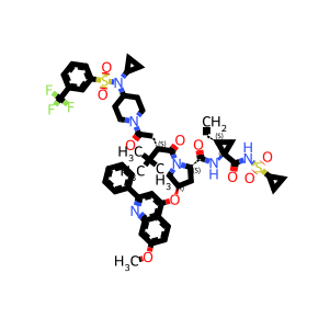 C=C[C@@H]1C[C@]1(NC(=O)[C@@H]1C[C@@H](Oc2cc(-c3ccccc3)nc3cc(OC)ccc23)CN1C(=O)[C@@H](CC(=O)N1CCC(N(C2CC2)S(=O)(=O)c2cccc(C(F)(F)F)c2)CC1)C(C)(C)C)C(=O)NS(=O)(=O)C1CC1